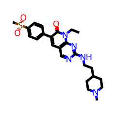 CCn1c(=O)c(-c2ccc(S(C)(=O)=O)cc2)cc2cnc(NCCC3CCN(C)CC3)nc21